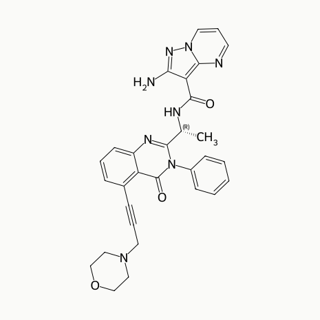 C[C@@H](NC(=O)c1c(N)nn2cccnc12)c1nc2cccc(C#CCN3CCOCC3)c2c(=O)n1-c1ccccc1